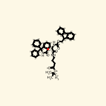 CC(C)(C)OC(=O)CCCNC(=O)[C@H](CC(=O)NC(c1ccccc1)(c1ccccc1)c1ccccc1)NC(=O)OCC1c2ccccc2-c2ccccc21